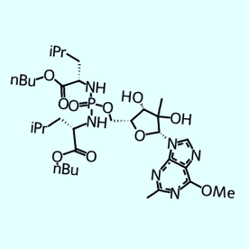 CCCCOC(=O)[C@H](CC(C)C)NP(=O)(N[C@@H](CC(C)C)C(=O)OCCCC)OC[C@H]1O[C@@H](n2cnc3c(OC)nc(C)nc32)C(C)(O)[C@H]1O